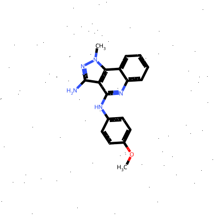 COc1ccc(Nc2nc3ccccc3c3c2c(N)nn3C)cc1